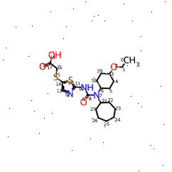 CCOC1CCC(N(C(=O)Nc2ncc(SCC(=O)O)s2)C2CCCCCC2)CC1